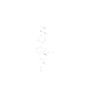 Cc1nc2c(-c3ccc(S(=O)(=O)N(C)C)cc3)cccc2n1C/C(F)=C/CN